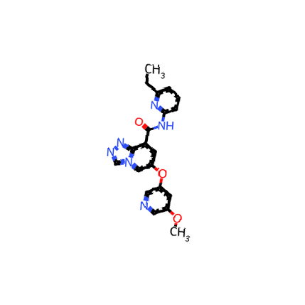 CCc1cccc(NC(=O)c2cc(Oc3cncc(OC)c3)cn3cnnc23)n1